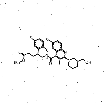 Cc1c(N2CCCC(CO)C2)nc2ccc(Br)cc2c1C(=O)NCC(CCC(=O)OC(C)(C)C)c1cc(F)ccc1Cl